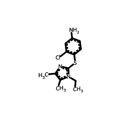 CCn1c(Sc2ccc(N)cc2Cl)nc(C)c1C